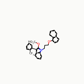 O=C(O)Oc1c(-c2ccccc2C(F)(F)F)c2ccccc2n1CCCOc1cccc2ccccc12